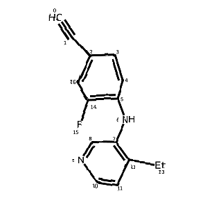 C#Cc1ccc(Nc2cnccc2CC)c(F)c1